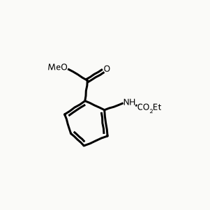 CCOC(=O)Nc1ccccc1C(=O)OC